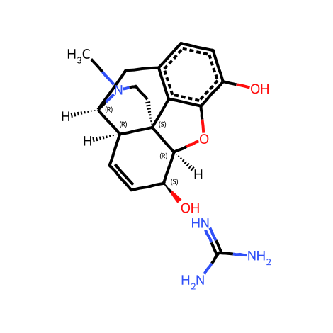 CN1CC[C@]23c4c5ccc(O)c4O[C@H]2[C@@H](O)C=C[C@H]3[C@H]1C5.N=C(N)N